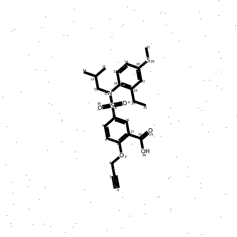 C#CCOc1ccc(S(=O)(=O)N(CC(C)C)c2ccc(SC)cc2CC)cc1C(=O)O